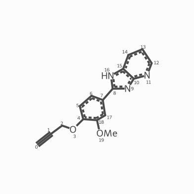 C#CCOc1ccc(-c2nc3ncccc3[nH]2)cc1OC